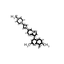 Cc1cc(-c2cnn3cc(N4CC(N5CCN(C)CC5)C4)cnc23)c2ccc(C)c(F)c2n1